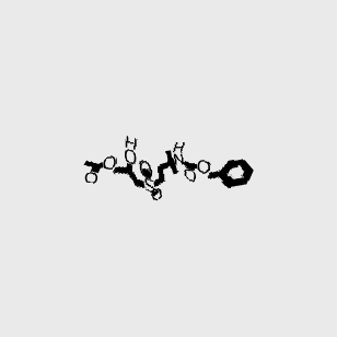 CC(=O)OCC(O)CS(=O)(=O)CCC(C)(C)NC(=O)OCc1ccccc1